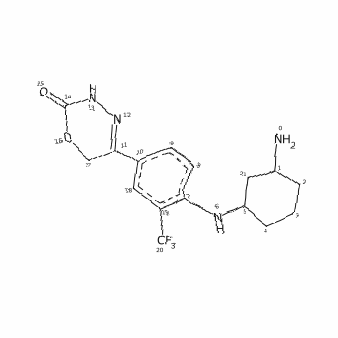 NC1CCCC(Nc2ccc(C3=NNC(=O)OC3)cc2C(F)(F)F)C1